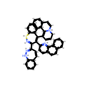 C1=CC(C2=C(c3ccc4ccc5ccccc5c4n3)C(C3=NNc4ccccc4C=C3)=NSc3ccccc32)=C2c3ccccc3C=CN2C1